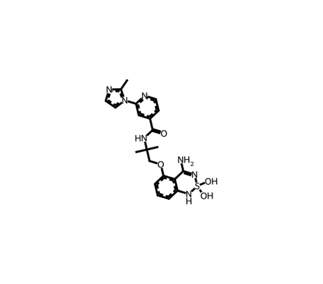 Cc1nccn1-c1cc(C(=O)NC(C)(C)COc2cccc3c2C(N)=NS(O)(O)N3)ccn1